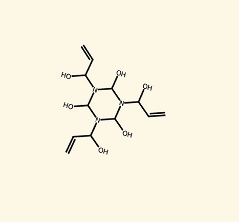 C=CC(O)N1C(O)N(C(O)C=C)C(O)N(C(O)C=C)C1O